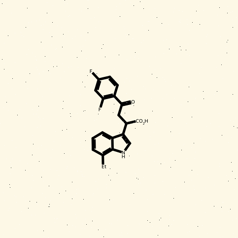 CCc1cccc2c(C(CC(=O)c3ccc(F)cc3F)C(=O)O)c[nH]c12